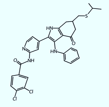 CC(C)SCC1CC(=O)c2c([nH]c(-c3ccnc(NC(=O)c4ccc(Cl)c(Cl)c4)c3)c2Nc2ccccc2)C1